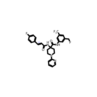 O=C(/C=C/c1ccc(F)cc1)NC1(C(=O)Nc2cc(CF)cc(C(F)(F)F)c2)CCN(c2ccccn2)CC1